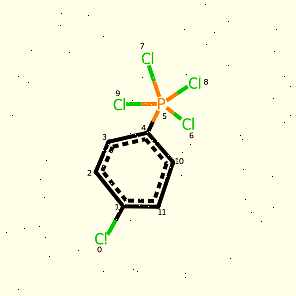 Clc1ccc(P(Cl)(Cl)(Cl)Cl)cc1